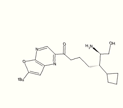 CC(C)(C)c1cc2nc(C(=O)CCC[C@@H](C3CCC3)[C@@H](N)CO)cnc2o1